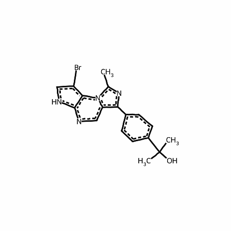 Cc1nc(-c2ccc(C(C)(C)O)cc2)c2cnc3[nH]cc(Br)c3n12